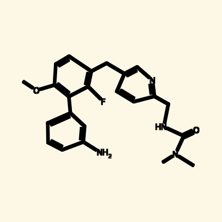 COc1ccc(Cc2ccc(CNC(=O)N(C)C)nc2)c(F)c1-c1cccc(N)c1